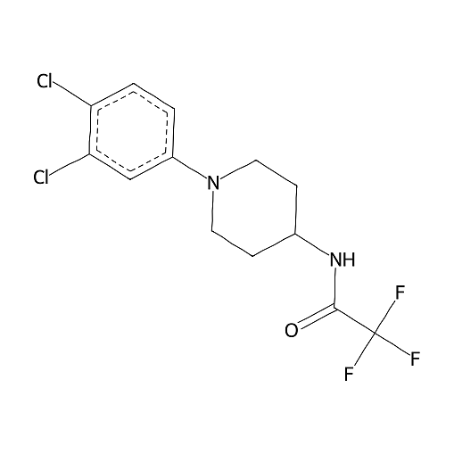 O=C(NC1CCN(c2ccc(Cl)c(Cl)c2)CC1)C(F)(F)F